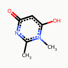 Cc1nc(=O)cc(O)n1C